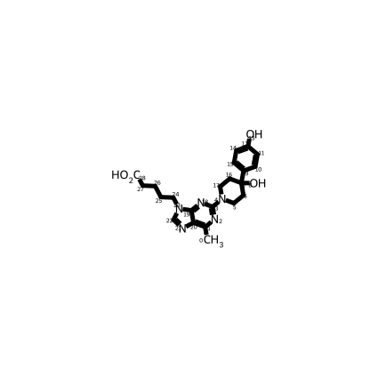 Cc1nc(N2CCC(O)(c3ccc(O)cc3)CC2)nc2c1ncn2CCCCC(=O)O